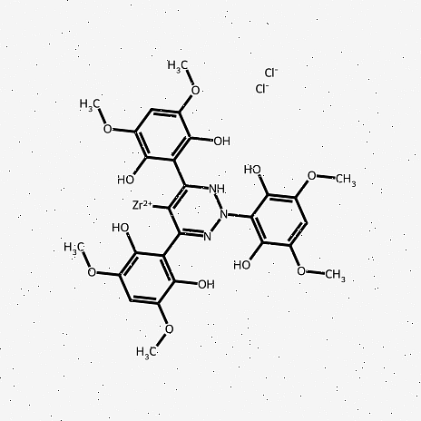 COc1cc(OC)c(O)c(C2=NN(c3c(O)c(OC)cc(OC)c3O)NC(c3c(O)c(OC)cc(OC)c3O)=[C]2[Zr+2])c1O.[Cl-].[Cl-]